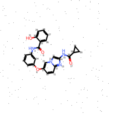 O=C(Nc1cccc(Oc2ccc3nc(NC(=O)C4CC4)cn3c2)c1)c1ccccc1O